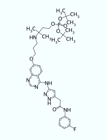 CC(C)(CCOP(=O)(OC(C)(C)C)OC(C)(C)C)NCCCOc1ccc2c(Nc3cc(CC(=O)Nc4cccc(F)c4)[nH]n3)ncnc2c1